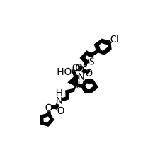 O=C(NCCC[C@@]1(c2ccccc2)CC1(NS(=O)(=O)c1ccc(-c2ccc(Cl)cc2)s1)C(=O)O)OC1CCCC1